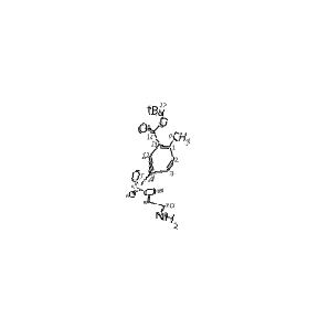 Cc1ccc(S(=O)(=O)OCCN)cc1C(=O)OC(C)(C)C